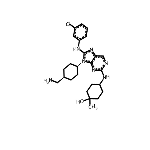 CC1(O)CCC(Nc2ncc3nc(Nc4cccc(Cl)c4)n([C@H]4CC[C@H](CN)CC4)c3n2)CC1